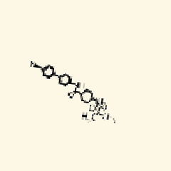 CC(C)S(=O)(=O)NC1CCC(C(=O)Nc2ccc(-c3ccc(C#N)cc3)cc2)CC1